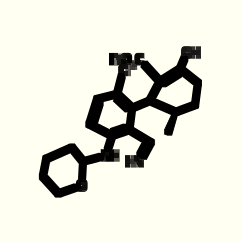 CCOC(=O)C1=C(O)CC[C@@H](C)C1c1c(Cl)ccc(NC2CCCCO2)c1C=N